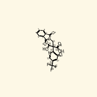 O=C1c2ccccc2C(=O)N1CC(C(=O)O)(C(=O)O)c1ncc(C(F)(F)F)cc1Cl